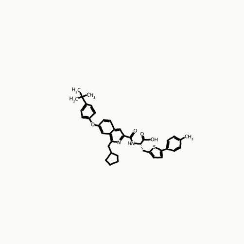 Cc1ccc(-c2ccc(C[C@H](NC(=O)c3cc4ccc(Oc5ccc(C(C)(C)C)cc5)cc4c(CC4CCCC4)n3)C(=O)O)s2)cc1